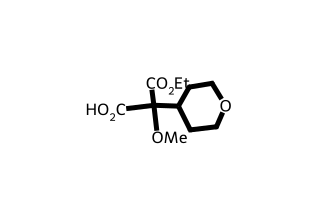 CCOC(=O)C(OC)(C(=O)O)C1CCOCC1